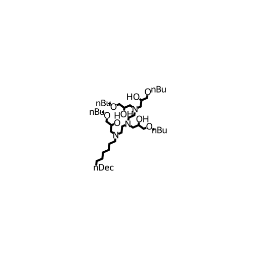 CCCCCCCCCCCCCCCCN(CCN(CCN(CC(O)COCCCC)CC(O)COCCCC)CC(O)COCCCC)CC(O)COCCCC